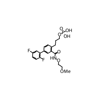 COCCONC(=O)c1cc(-c2cc(F)ccc2F)ccc1CCCOP(=O)(O)O